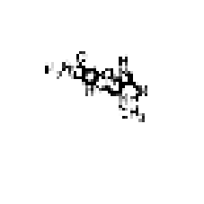 CCNc1cc(Nc2cc3c(cc2Cl)C(=O)N(C)C3)nc2[nH]cc(C#N)c12